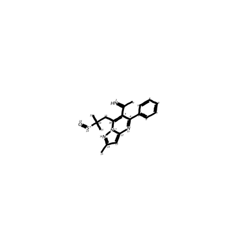 CC(=N)c1c(-c2ccccc2)nc2cc(C)nn2c1CC(C)(C)[S+]=O